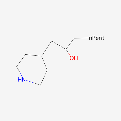 CCCCCCC(O)CC1CCNCC1